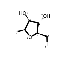 C[C@@H]1O[C@H](CI)[C@@H](O)[C@H]1O